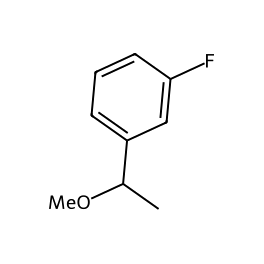 COC(C)c1cccc(F)c1